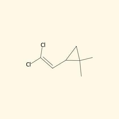 CC1(C)CC1C=C(Cl)Cl